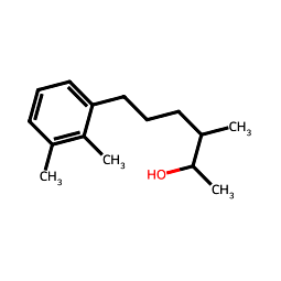 Cc1cccc(CCCC(C)C(C)O)c1C